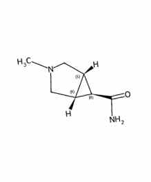 CN1C[C@@H]2[C@H](C1)[C@H]2C(N)=O